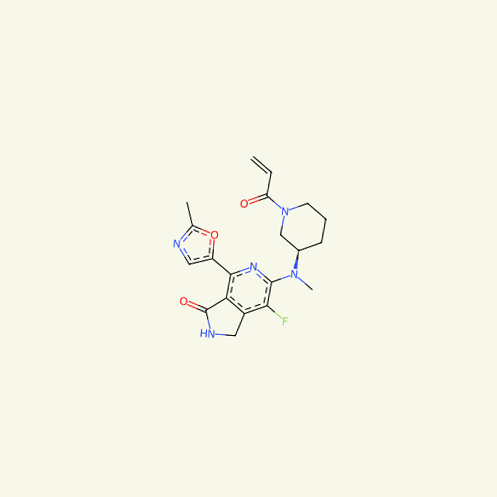 C=CC(=O)N1CCC[C@@H](N(C)c2nc(-c3cnc(C)o3)c3c(c2F)CNC3=O)C1